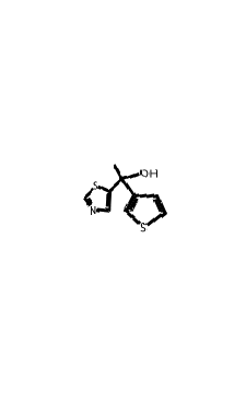 CC(O)(c1ccsc1)c1cncs1